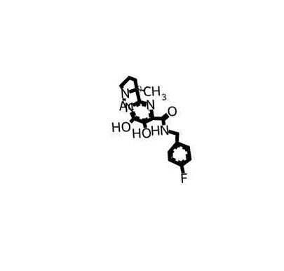 CC(=O)N1CCC[C@@]1(C)c1nc(O)c(O)c(C(=O)NCc2ccc(F)cc2)n1